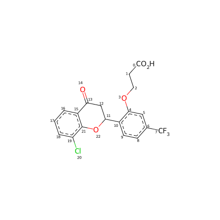 O=C(O)CCOc1cc(C(F)(F)F)ccc1C1CC(=O)c2cccc(Cl)c2O1